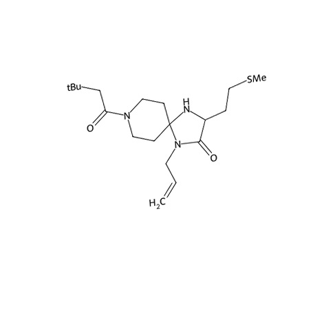 C=CCN1C(=O)C(CCSC)NC12CCN(C(=O)CC(C)(C)C)CC2